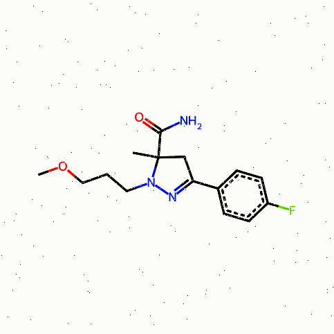 COCCCN1N=C(c2ccc(F)cc2)CC1(C)C(N)=O